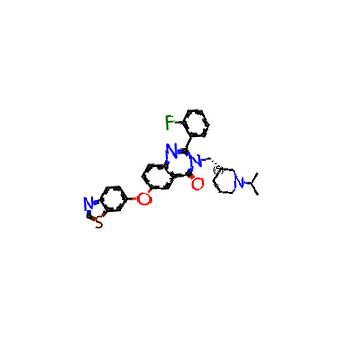 CC(C)N1CCC[C@H](Cn2c(-c3ccccc3F)nc3ccc(Oc4ccc5ncsc5c4)cc3c2=O)C1